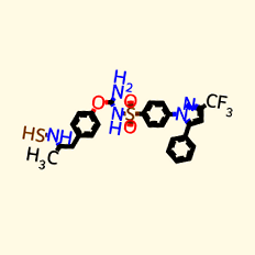 CC(Cc1ccc(OC(N)NS(=O)(=O)c2ccc(-n3nc(C(F)(F)F)cc3-c3ccccc3)cc2)cc1)NS